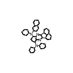 c1ccc(N(c2ccccc2)c2ccc(N(c3ccccc3)c3ccc4ccccc4c3)c3nc4c(nc23)-c2cccc3cccc-4c23)cc1